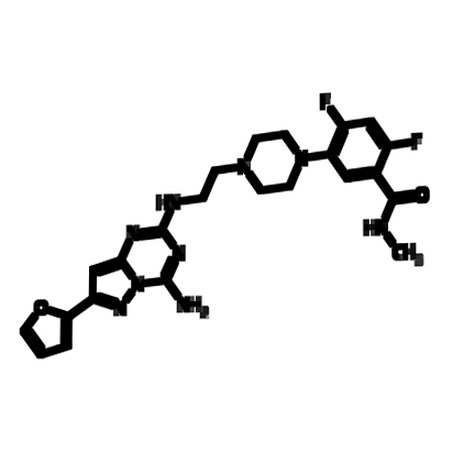 CNC(=O)c1cc(N2CCN(CCNc3nc(N)n4nc(-c5ccco5)cc4n3)CC2)c(F)cc1F